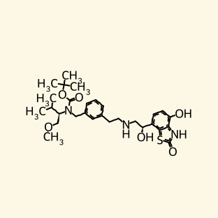 COC[C@@H](C(C)C)N(Cc1cccc(CCNC[C@H](O)c2ccc(O)c3[nH]c(=O)sc23)c1)C(=O)OC(C)(C)C